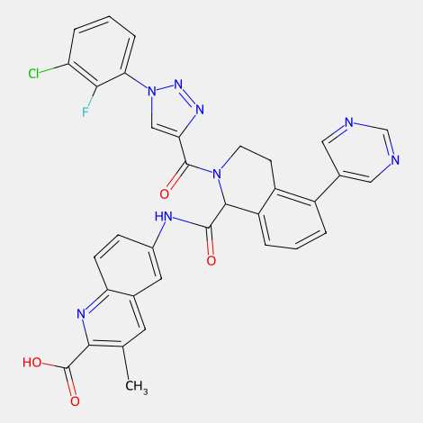 Cc1cc2cc(NC(=O)C3c4cccc(-c5cncnc5)c4CCN3C(=O)c3cn(-c4cccc(Cl)c4F)nn3)ccc2nc1C(=O)O